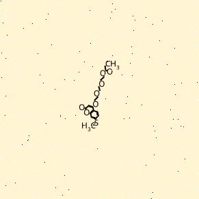 CCC(=O)OCCOCCOCCOc1cc(=O)oc2cc(SC)ccc12